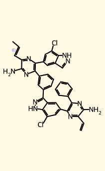 C=Cc1nc(-c2cc(Cl)c3[nH]nc(-c4cccc(-c5nc(N)c(/C=C/C)nc5-c5cc(Cl)c6[nH]ncc6c5)c4)c3c2)c(-c2ccccc2)nc1N